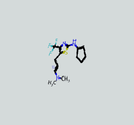 CN(C)/C=C/Cc1sc(NC2CCCC2)nc1C(F)(F)F